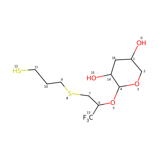 OC1COC(OC(CSCCCS)C(F)(F)F)C(O)C1